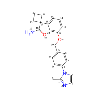 Cc1nccn1-c1ccc(COc2cccc(C3(C(N)=O)CCC3)c2)cc1